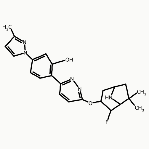 Cc1ccn(-c2ccc(-c3ccc(OC4CC5CC(C)(C)C(N5)C4F)nn3)c(O)c2)n1